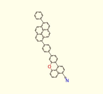 N#Cc1ccc2c3c(cccc13)Oc1cc(-c3ccc(-c4ccc5ccc6c(-c7ccccc7)ccc7ccc4c5c76)cc3)ccc1-2